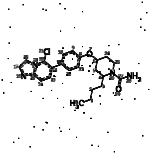 CCCCC1CC(Oc2ccc(-c3ccc4nccn4c3Cl)cc2)CCN1C(N)=O